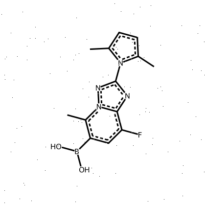 Cc1ccc(C)n1-c1nc2c(F)cc(B(O)O)c(C)n2n1